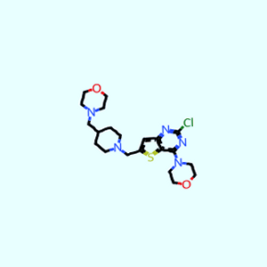 Clc1nc(N2CCOCC2)c2sc(CN3CCC(CN4CCOCC4)CC3)cc2n1